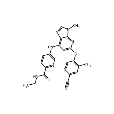 CCNC(=O)c1ccc(Nc2cc(Oc3cnc(C#N)cc3C)nc3c2ncn3C)cn1